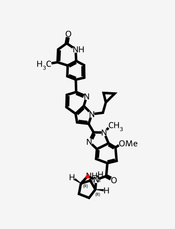 COc1cc(C(=O)N2C[C@H]3CC[C@@H]2[C@@H]3N)cc2nc(-c3cc4ccc(-c5ccc6[nH]c(=O)cc(C)c6c5)nc4n3CC3CC3)n(C)c12